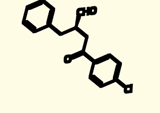 O=C[C@@H](CC(=O)c1ccc(Cl)cc1)Cc1ccccc1